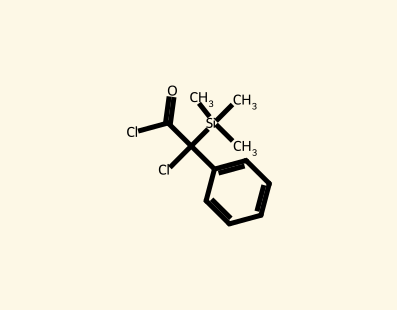 C[Si](C)(C)C(Cl)(C(=O)Cl)c1ccccc1